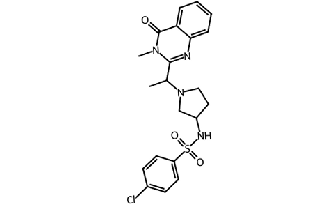 CC(c1nc2ccccc2c(=O)n1C)N1CCC(NS(=O)(=O)c2ccc(Cl)cc2)C1